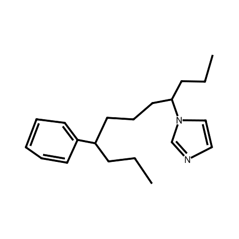 CCCC(CCCC(CCC)n1ccnc1)c1ccccc1